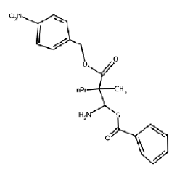 CCCC(C)(C(=O)OCc1ccc([N+](=O)[O-])cc1)C(N)SC(=O)c1ccccc1